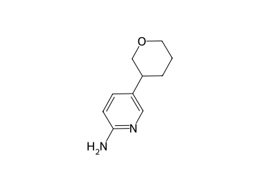 Nc1ccc(C2CCCOC2)cn1